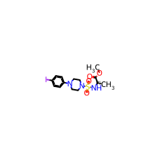 COC(=O)[C@@H](C)NS(=O)(=O)N1CCN(c2ccc(I)cc2)CC1